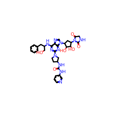 O=C(Nc1cccnc1)NC1CCN(c2nc(NC(CO)Cc3ccccc3)c3ncn(C4CC(N5C(=O)CNC5=O)C(O)C4O)c3n2)C1